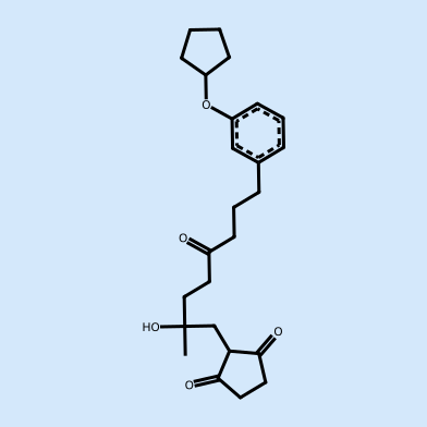 CC(O)(CCC(=O)CCCc1cccc(OC2CCCC2)c1)CC1C(=O)CCC1=O